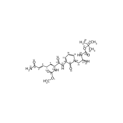 COC(=O)N[C@@H](CC/C=C/C(N)=O)C(=O)Nc1cccn(CC(=N)NC(=O)OC(C)(C)C)c1=O